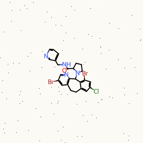 O=C(NCc1cccnc1)C1CCCN1C1c2ncc(Br)cc2CCc2cc(Cl)cc(Br)c21